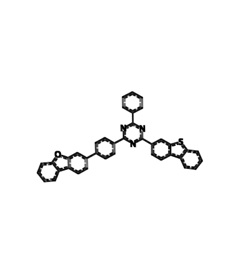 c1ccc(-c2nc(-c3ccc(-c4ccc5c(c4)oc4ccccc45)cc3)nc(-c3ccc4c(c3)sc3ccccc34)n2)cc1